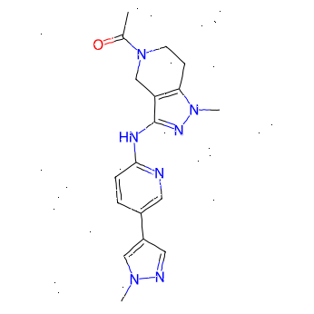 CC(=O)N1CCc2c(c(Nc3ccc(-c4cnn(C)c4)cn3)nn2C)C1